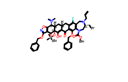 C=CCN1Cc2c(F)c3c(c(OCc4ccccc4)c2N(C(=O)OC(C)(C)C)C[C@H]1CC(C)C)C(=O)C1=C(O)[C@]2(O[Si](C)(C)C(C)(C)C)C(=O)c4c(OCc5ccccc5)noc4[C@@H](N(C)C)[C@@H]2C[C@@H]1C3